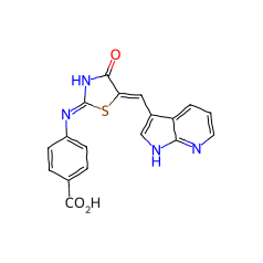 O=C1N/C(=N/c2ccc(C(=O)O)cc2)S/C1=C\c1c[nH]c2ncccc12